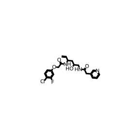 C=CC(CC(O)CNC(=O)Cc1cccnc1)NC(=O)COc1ccc(Cl)c(F)c1